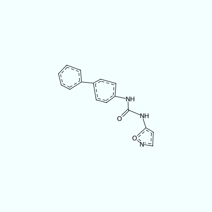 O=C(Nc1ccc(-c2ccccc2)cc1)Nc1ccno1